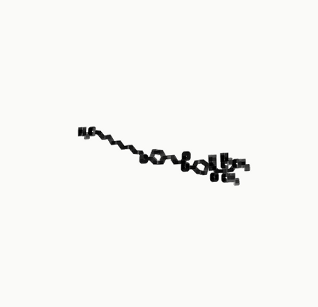 CCCCCCCCCCOc1ccc(/C=C/C(=O)OC2CCC(NC(=O)C(C)(C)CC)CC2)cc1